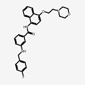 O=C(Nc1ccc(OCCN2CCOCC2)c2ccccc12)c1cccc(NCc2ccc(F)cc2)c1